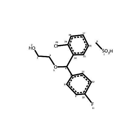 CS(=O)(=O)O.OCCOC(c1ccc(F)cc1)c1ccccc1Cl